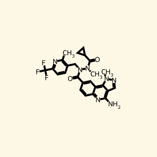 Cc1nc(C(F)(F)F)ccc1CN(C(=O)c1ccc2nc(N)c3cnn(C)c3c2c1)N(C)C(=O)C1CC1